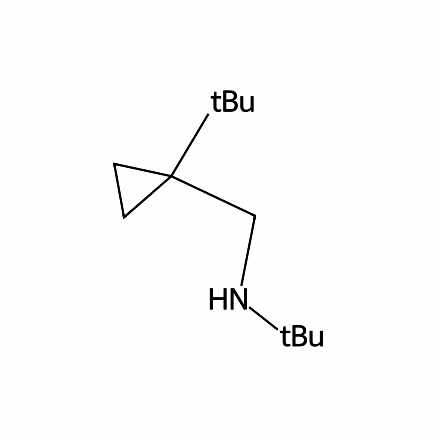 CC(C)(C)NCC1(C(C)(C)C)CC1